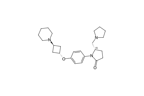 O=C1CC[C@@H](CN2CCCC2)N1c1ccc(O[C@H]2C[C@H](N3CCCCC3)C2)cc1